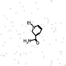 CCN1C=CC=C(C(N)=O)C1